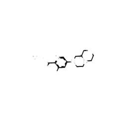 CO[C@@H](C)c1ncc(N2CCN3CCOC[C@@H]3C2)cc1Br